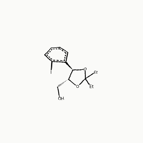 CCC1(CC)O[C@H](c2ccccc2I)[C@@H](CO)O1